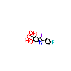 Cn1c(-c2ccc(F)cc2)c(I)c2cc(C(=O)O)c(O)cc21